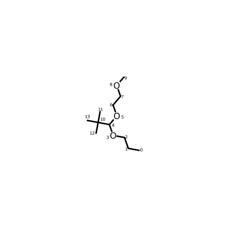 CCCOC(OCCOC)C(C)(C)C